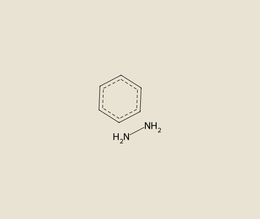 NN.c1ccccc1